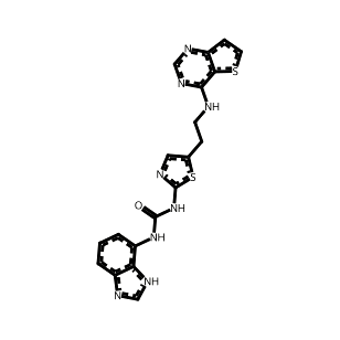 O=C(Nc1ncc(CCNc2ncnc3ccsc23)s1)Nc1cccc2nc[nH]c12